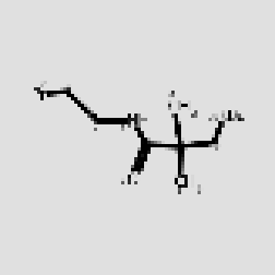 CC(C)CCNC(=O)C(C)(C)CC(C)(C)C